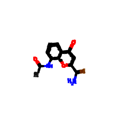 CCC(=O)Nc1cccc2c(=O)cc(C(N)=S)oc12